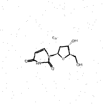 O=c1ccn([C@H]2C[C@H](O)[C@@H](CO)O2)c(=O)[nH]1.[Cu]